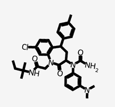 CCC(C)(C)NC(=O)CN1C(=O)C(N(C(N)=O)c2cccc(N(C)C)c2)CC(c2ccc(C)cc2)c2ccc(Cl)cc21